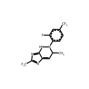 CC1C=C2N=C(C(F)(F)F)N=C2NN1c1ccc(C(F)(F)F)cc1F